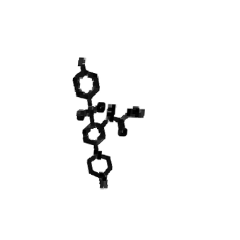 CCCCC(=O)Nc1cc(N2CCNCC2)ccc1S(=O)(=O)c1ccc(F)cc1